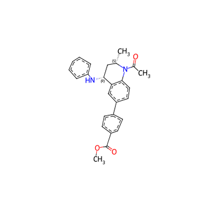 COC(=O)c1ccc(-c2ccc3c(c2)[C@H](Nc2ccccc2)C[C@H](C)N3C(C)=O)cc1